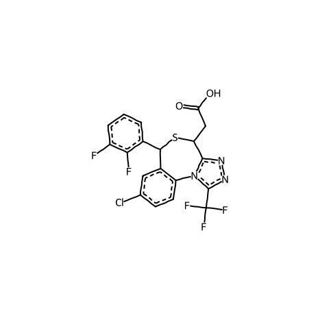 O=C(O)CC1SC(c2cccc(F)c2F)c2cc(Cl)ccc2-n2c1nnc2C(F)(F)F